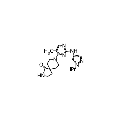 Cc1cnc(Nc2cnn(C(C)C)c2)nc1N1CCC2(CCNC2=O)CC1